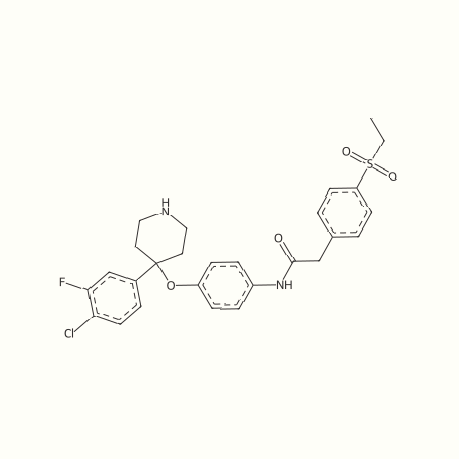 CCS(=O)(=O)c1ccc(CC(=O)Nc2ccc(OC3(c4ccc(Cl)c(F)c4)CCNCC3)cc2)cc1